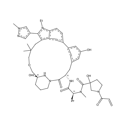 C=CC(=O)N1CCC(O)(C(=O)N(C)[C@H](C(=O)N[C@H]2Cc3cc(O)cc(c3)-c3ccc4c(c3)c(c(-c3cnn(C)c3)n4CC)CC(C)(C)COC[C@@]3(C=O)CCCN(N3)C2=O)C(C)C)C1